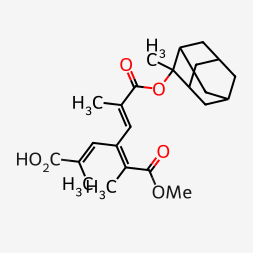 COC(=O)C(C)=C(C=C(C)C(=O)O)C=C(C)C(=O)OC1(C)C2CC3CC(C2)CC1C3